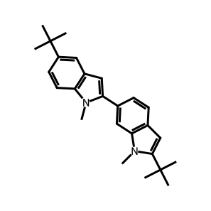 Cn1c(-c2ccc3cc(C(C)(C)C)n(C)c3c2)cc2cc(C(C)(C)C)ccc21